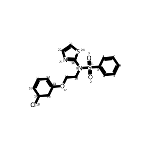 O=S(=O)(c1ccccc1)N(CCOC1=CC=CC(Cl)C1)c1nccs1